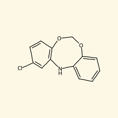 Clc1ccc2c(c1)Nc1ccccc1OCO2